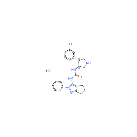 Cl.O=C(Nc1c2c(nn1-c1ccccc1)CCC2)N[C@@H]1CNC[C@H]1c1cccc(Cl)c1